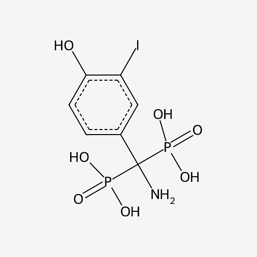 NC(c1ccc(O)c(I)c1)(P(=O)(O)O)P(=O)(O)O